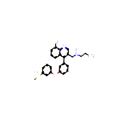 CS(=O)(=O)c1cccc(Oc2cccc(-c3c(CNCCC#N)cnc4c(C(F)(F)F)cccc34)c2)c1